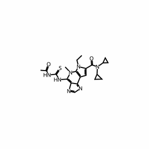 CCn1c(C(=O)N(C2CC2)C2CC2)cc2c3ncnc-3c(NC(=S)NC(C)=O)n(C)c21